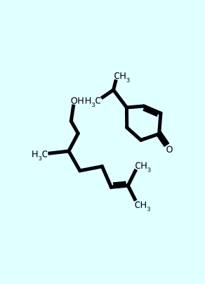 CC(C)=CCCC(C)CCO.CC(C)C1C=CC(=O)CC1